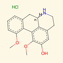 COc1cccc2c1-c1c(OC)c(O)cc3c1[C@@H](C2)NCC3.Cl